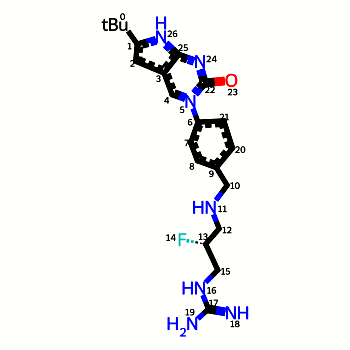 CC(C)(C)c1cc2cn(-c3ccc(CNC[C@@H](F)CNC(=N)N)cc3)c(=O)nc2[nH]1